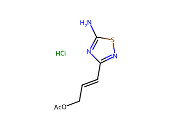 CC(=O)OCC=Cc1nsc(N)n1.Cl